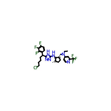 CCN(C[C@@H]1CC[C@H](C)[C@H]1Nc1nnc(C(CCCCCl)c2ccc(F)c(F)c2F)[nH]1)c1ccnc(C(F)(F)F)c1